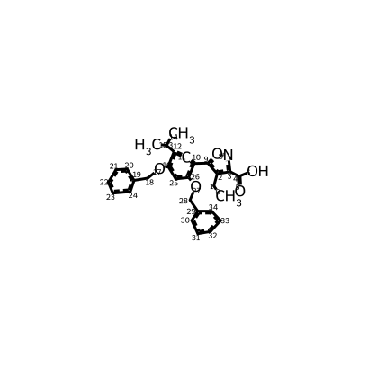 CCc1c(C(=O)O)noc1-c1cc(C(C)C)c(OCc2ccccc2)cc1OCc1ccccc1